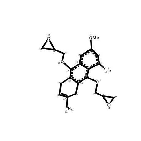 COc1cc(C)c2c(OCC3CO3)c3c(c(OCC4CO4)c2c1)CC=C(C)C3